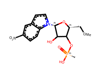 COC[C@H]1O[C@@H](n2ccc3cc([N+](=O)[O-])ccc32)C(O)C1O[P@](C)(=O)O